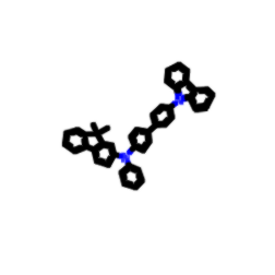 CC1(C)c2ccccc2-c2ccc(N(c3ccccc3)c3ccc(-c4ccc(-n5c6c#cccc6c6ccccc65)cc4)cc3)cc21